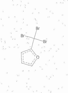 BrC(Br)(Br)c1ccco1